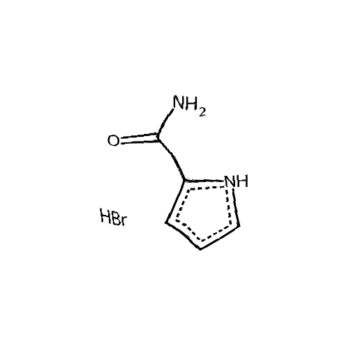 Br.NC(=O)c1ccc[nH]1